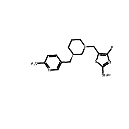 CC(=O)Nc1nc(F)c(CN2CCC[C@H](Cc3ccc(C)nc3)C2)s1